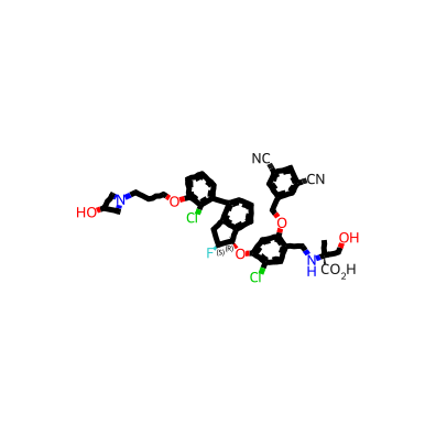 C[C@@](CO)(NCc1cc(Cl)c(O[C@@H]2c3cccc(-c4cccc(OCCCN5CC(O)C5)c4Cl)c3C[C@@H]2F)cc1OCc1cc(C#N)cc(C#N)c1)C(=O)O